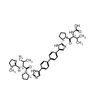 CC(C)[C@H](NC(=O)O)C(=O)N1CCC[C@H]1c1ncc(-c2ccc(-c3ccc(-c4cnc([C@@H]5CCCN5C(=O)[C@H](NC5=NCCN5C)C(C)C)[nH]4)cc3)cc2)[nH]1